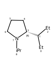 CCC(CC)[C@H]1CCCN1C(C)C